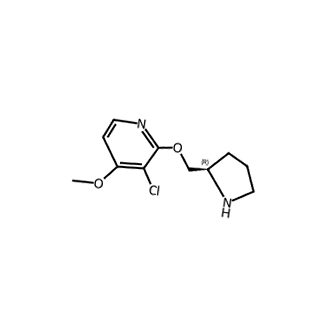 COc1ccnc(OC[C@H]2CCCN2)c1Cl